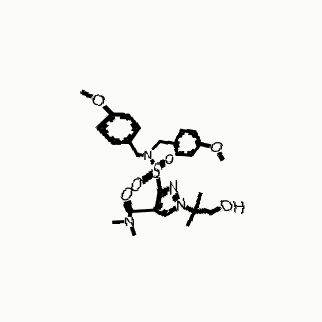 COc1ccc(CN(Cc2ccc(OC)cc2)S(=O)(=O)c2nn(C(C)(C)CO)cc2C(=O)N(C)C)cc1